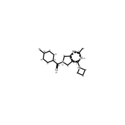 Cc1nc2c(c(N3CCC3)n1)CN(C(=O)C1CCC(C)CC1)C2